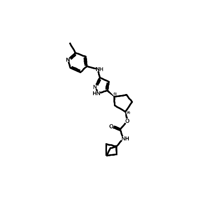 Cc1cc(Nc2cc([C@H]3CC[C@@H](OC(=O)NC45CC(C4)C5)C3)[nH]n2)ccn1